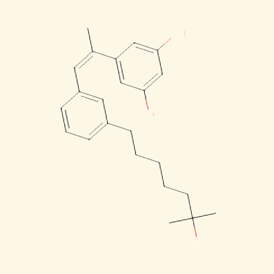 CC(=Cc1cccc(CCCCCC(C)(C)O)c1)c1cc(O)cc(O)c1